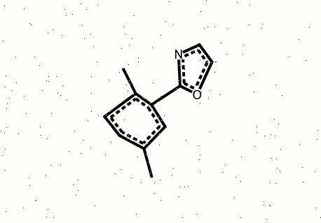 Cc1ccc(C)c(-c2nc[c]o2)c1